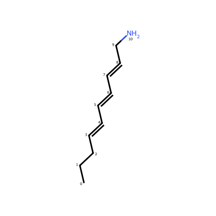 CCCC=CC=CC=CCN